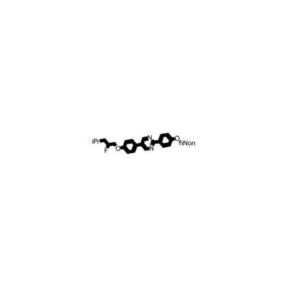 CCCCCCCCCOc1ccc(-c2ncc(-c3ccc(OCC(F)CC(C)C)cc3)cn2)cc1